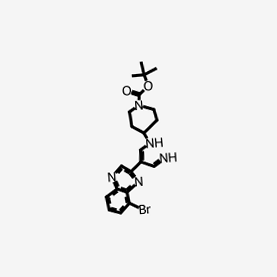 CC(C)(C)OC(=O)N1CCC(N/C=C(\C=N)c2cnc3cccc(Br)c3n2)CC1